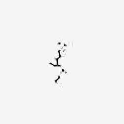 CCOP(C)(=O)C[C@H](C)[C@H]1OCCC1OP(C)OCCC#N